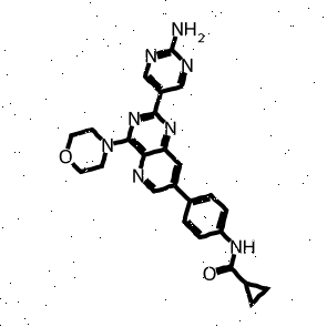 Nc1ncc(-c2nc(N3CCOCC3)c3ncc(-c4ccc(NC(=O)C5CC5)cc4)cc3n2)cn1